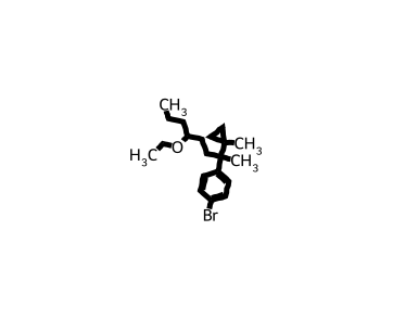 CCCC(CCC(C)(c1ccc(Br)cc1)C1(C)CC1)OCC